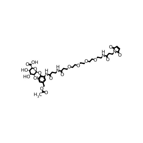 CC(=O)OCc1ccc(O[C@@H]2O[C@H](C(=O)O)[C@@H](O)[C@H](O)[C@H]2O)c(NC(=O)CCNC(=O)CCOCCOCCOCCOCCNC(=O)CCN2C(=O)C=CC2=O)c1